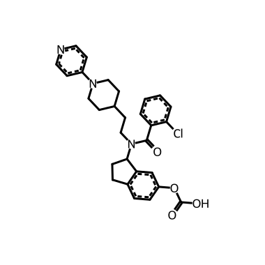 O=C(O)Oc1ccc2c(c1)C(N(CCC1CCN(c3ccncc3)CC1)C(=O)c1ccccc1Cl)CC2